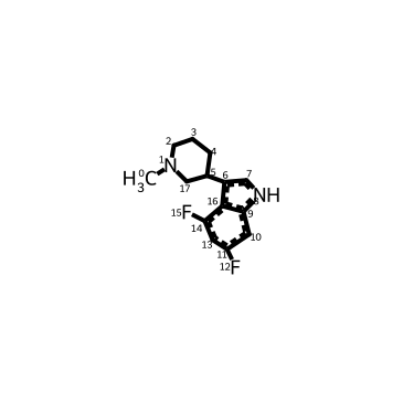 CN1CCCC(c2c[nH]c3cc(F)cc(F)c23)C1